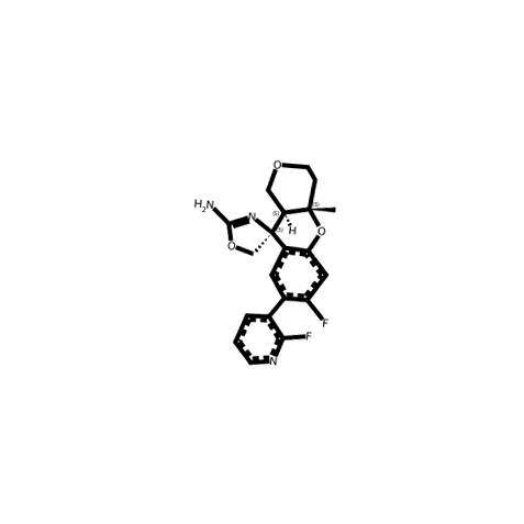 C[C@]12CCOC[C@@H]1[C@@]1(COC(N)=N1)c1cc(-c3cccnc3F)c(F)cc1O2